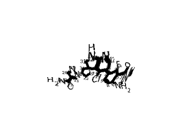 CN(C)C(=O)c1c(N)ccc(-c2cnc3c(c2Cl)[C@]2(CC[C@H](n4cc(C(N)=O)cn4)C2)CN3)c1F